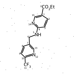 CCOC(=O)c1ccc(NCc2ccc(C(F)(F)F)nc2)nc1